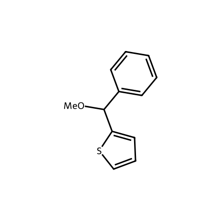 COC(c1ccccc1)c1cccs1